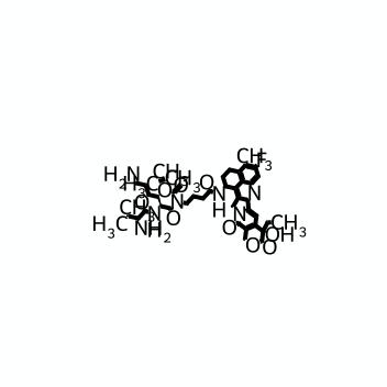 CC[C@@]1(O)C(=O)OCc2c1cc1n(c2=O)Cc2c-1nc1cc(F)c(C)c3c1c2[C@@H](NC(=O)CCCN(C(=O)OC(C)(C)C)C(=O)[C@H](CCCCN)NC(=O)[C@@H](N)C(C)C)CC3